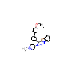 COc1ccc(-c2cccc(C(NC3CCN(C)CC3)c3nc4ccccc4s3)c2)cc1